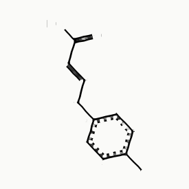 Cc1ccc(CC=CC(=O)O)cc1